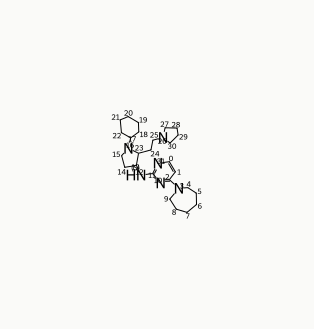 c1cc(N2CCCCCC2)nc(N[C@H]2CCN(C3CCCCC3)C2CCN2CCCC2)n1